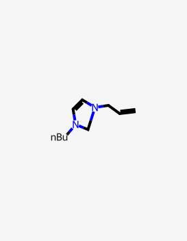 C=CCN1C=CN(CCCC)C1